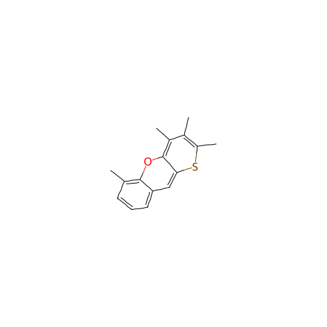 CC1=C(C)C(C)=C2Oc3c(C)cccc3C=C2S1